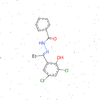 CC/C(=N\NC(=O)c1ccccc1)c1cc(Cl)cc(Cl)c1O